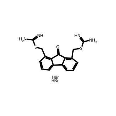 Br.Br.N=C(N)SCc1cccc2c1C(=O)c1c(CSC(=N)N)cccc1-2